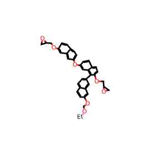 CCOCOc1ccc2ccc(-c3c(OCC4CO4)ccc4ccc(Oc5ccc6ccc(OCC7CO7)cc6c5)cc34)cc2c1